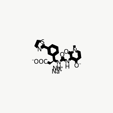 Cn1ccc([O-])c(NC(=O)N[C@@H](CC(=O)[O-])c2cccc(-c3nccs3)c2)c1=O.[Na+].[Na+]